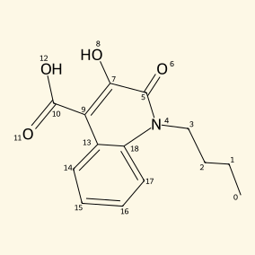 CCCCn1c(=O)c(O)c(C(=O)O)c2ccccc21